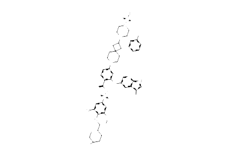 CC(C)c1ccccc1[C@@H]1CN(S(=O)(=O)C(C)C)CCN1C1CC2(CCN(c3ccc(C(=O)NS(=O)(=O)c4cc5c(c([N+](=O)[O-])c4)N[C@@H]([C@H]4CC[C@](C)(O)CC4)CO5)c(Oc4cnc5[nH]cc(F)c5c4)c3)CC2)C1